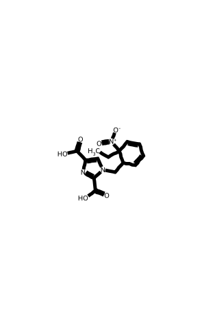 CCC1([N+](=O)[O-])C=CC=CC1Cn1cc(C(=O)O)nc1C(=O)O